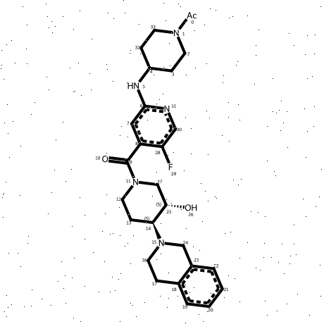 CC(=O)N1CCC(Nc2cc(C(=O)N3CC[C@H](N4CCc5ccccc5C4)[C@@H](O)C3)c(F)cn2)CC1